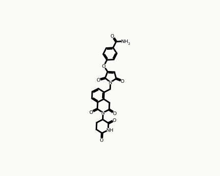 NC(=O)c1ccc(OC2=CC(=O)N(Cc3cccc4c3CC(=O)N(C3CCC(=O)NC3=O)C4=O)C2=O)cc1